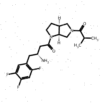 CC(C)C(=O)N1C[C@@H]2CCN(C(=O)C[C@H](N)Cc3cc(F)c(F)cc3F)[C@@H]2C1